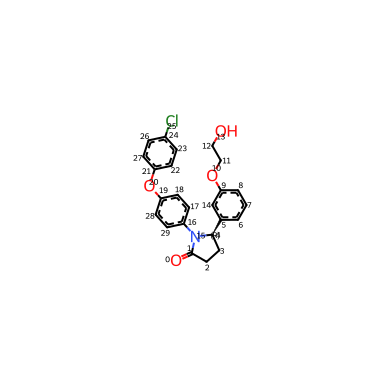 O=C1CC[C@H](c2cccc(OCCO)c2)N1c1ccc(Oc2ccc(Cl)cc2)cc1